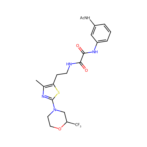 CC(=O)Nc1cccc(NC(=O)C(=O)NCCc2sc(N3CCOC(C(F)(F)F)C3)nc2C)c1